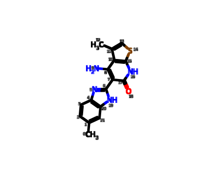 Cc1ccc2nc(-c3c(N)c4c(C)csc4[nH]c3=O)[nH]c2c1